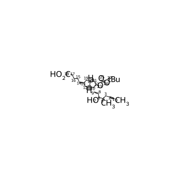 CC#CCC(C)[C@H](O)/C=C/[C@@H]1[C@H]2C/C(=C/CCCC(=O)O)C[C@H]2C[C@H]1OC(=O)OC(C)(C)C